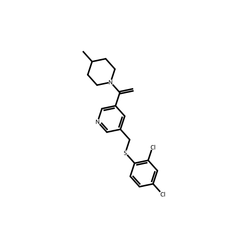 C=C(c1cncc(CSc2ccc(Cl)cc2Cl)c1)N1CCC(C)CC1